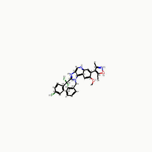 COc1cc2c(cc1-c1c(C)noc1C)ncc1nc(C(F)(F)c3ccc(F)cc3)n(Cc3ccccc3)c12